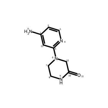 Nc1ccnc(N2CCNC(=O)C2)c1